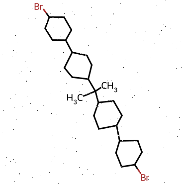 CC(C)(C1CCC(C2CCC(Br)CC2)CC1)C1CCC(C2CCC(Br)CC2)CC1